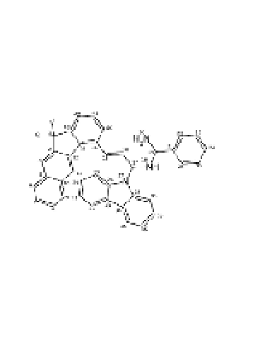 CC1(C)c2cc3ccccc3cc2-c2c(/C=C/C(NC(N)c3ccccc3)n3c4ccccc4c4ccccc43)cccc21